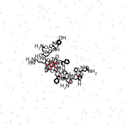 CCCC[C@@H](C(=O)N(C)[C@@H](CCCC)C(=O)N[C@@H](CCCNC(=N)N)C(=O)NC(CSCC(=O)N[C@@H](Cc1ccc(O)cc1)C(=O)NC)C(=O)NCC(N)=O)N(C)C(=O)[C@H](Cc1c[nH]c2ccccc12)NC(=O)[C@H](CO)NC(=O)[C@H](Cc1c[nH]c2ccccc12)NC(=O)[C@@H]1CCCN1C(=O)[C@H](CC(N)=O)NC(=O)[C@H](Cc1cnc[nH]1)NC(=O)[C@@H]1CCCN1C(=O)[C@@H](N)CC(N)=O